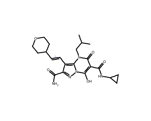 CC(C)Cn1c(=O)c(C(=O)NC2CC2)c(O)n2nc(C(N)=O)c(/C=C/C3CCOCC3)c12